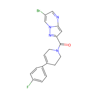 O=C(c1cc2ncc(Br)cn2n1)N1CC=C(c2ccc(F)cc2)CC1